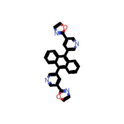 c1ccc2c(-c3cncc(-c4ncco4)c3)c3ccccc3c(-c3cncc(-c4ncco4)c3)c2c1